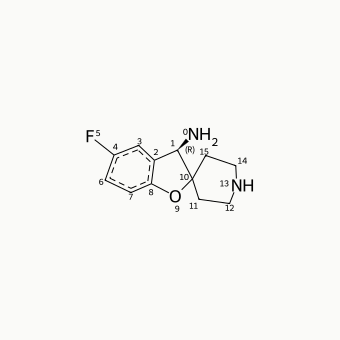 N[C@@H]1c2cc(F)ccc2OC12CCNCC2